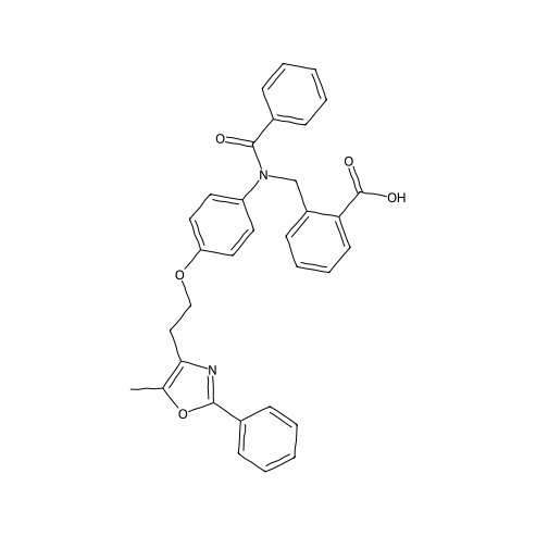 Cc1oc(-c2ccccc2)nc1CCOc1ccc(N(Cc2ccccc2C(=O)O)C(=O)c2ccccc2)cc1